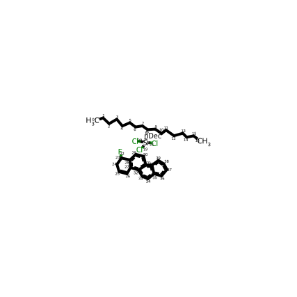 CCCCCCCCCCCCCCCCC.CCCCCCCCCC[Si](Cl)(Cl)Cl.FC1CC=Cc2c1ccc1c2ccc2ccccc21